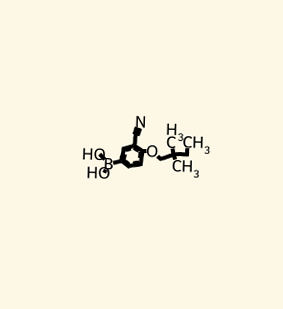 CCC(C)(C)COc1ccc(B(O)O)cc1C#N